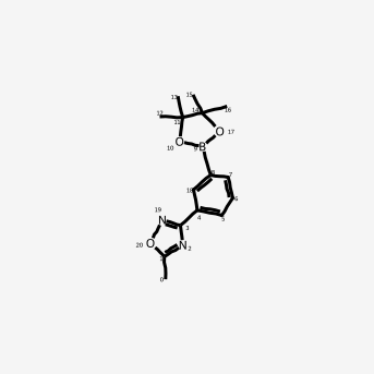 Cc1nc(-c2cccc(B3OC(C)(C)C(C)(C)O3)c2)no1